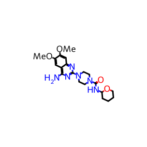 COc1cc2nc(N3CCN(C(=O)NC4CCCCO4)CC3)nc(N)c2cc1OC